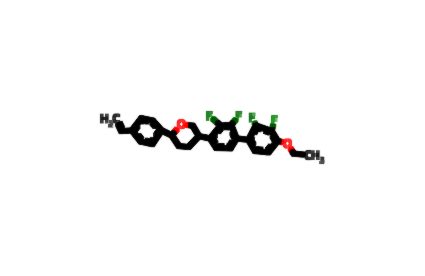 C=Cc1ccc(C2CCC(c3ccc(-c4ccc(OCC)c(F)c4F)c(F)c3F)CO2)cc1